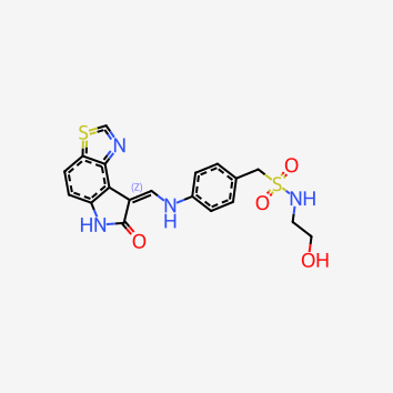 O=C1Nc2ccc3scnc3c2/C1=C/Nc1ccc(CS(=O)(=O)NCCO)cc1